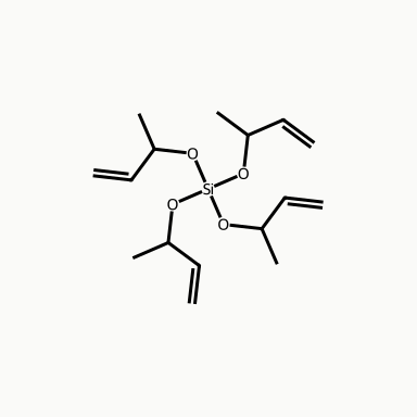 C=CC(C)O[Si](OC(C)C=C)(OC(C)C=C)OC(C)C=C